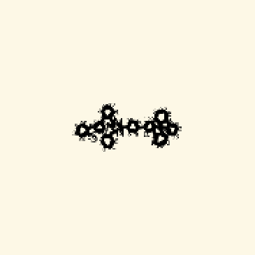 c1ccc(-c2nc(-c3ccc(-c4ccc5c(c4)-c4ccccc4C54c5ccccc5-c5ccccc54)cc3)nc(-c3ccccc3-c3ccc4sc5ccccc5c4c3)n2)cc1